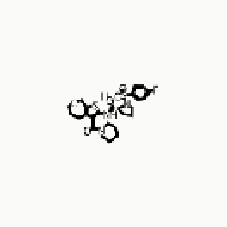 C=S(=O)(c1ccc(F)cc1)N1CCC[C@@H]1C(=O)Nc1sc2c(c1C(=O)N1CCCCC1)CCCCC2